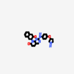 O=C1Cc2ccccc2CC1n1c(=O)ccc2cnc(Nc3ccc(OC4CCNC4)cc3)nc21